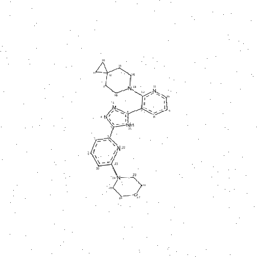 c1cc(-c2nnc(-c3cccnc3N3CCC4(CC3)CC4)[nH]2)nc(N2CCOCC2)c1